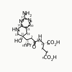 CCC[C@@H](CC(=O)N[C@@H](CCC(=O)O)C(=O)O)[C@@]1(O)CNc2nc(N)ncc2C1